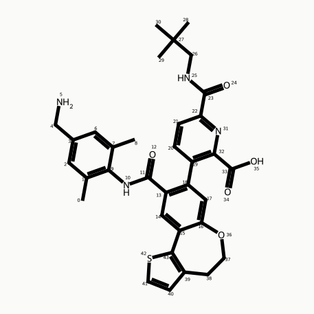 Cc1cc(CN)cc(C)c1NC(=O)c1cc2c(cc1-c1ccc(C(=O)NCC(C)(C)C)nc1C(=O)O)OCCc1ccsc1-2